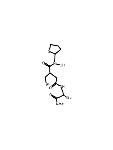 CNC(=O)[C@@H](NC(=O)CC(CC(C)C)C(=O)N(O)C1CCCS1)C(C)(C)C